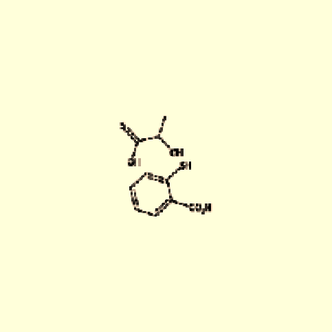 CC(O)C(O)=S.O=C(O)c1ccccc1S